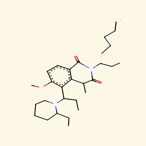 CCCCC[C@H](CC)N1C(=O)c2ccc(OC)c(C(CC)N3CCCCC3CC)c2C(C)C1=O